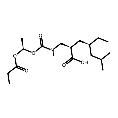 CCC(=O)O[C@@H](C)OC(=O)NC[C@@H](C[C@@H](CC)CC(C)C)C(=O)O